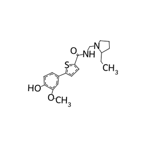 CCC1CCCN1CNC(=O)c1ccc(-c2ccc(O)c(OC)c2)s1